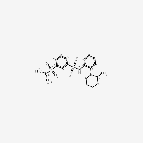 CC1CCCCN1c1ccccc1NS(=O)(=O)c1cccc(S(=O)(=O)N(C)C)c1